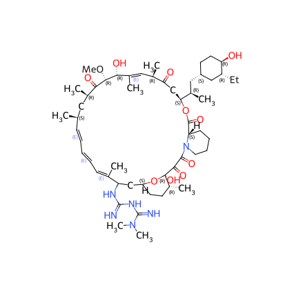 CC[C@@H]1C[C@H](C[C@@H](C)[C@@H]2CC(=O)[C@H](C)/C=C(\C)[C@@H](O)[C@@H](OC)C(=O)[C@H](C)C[C@H](C)/C=C/C=C/C=C(\C)C(NC(=N)NC(=N)N(C)C)C[C@@H]3CC[C@@H](C)[C@@](O)(O3)C(=O)C(=O)N3CCCC[C@H]3C(=O)O2)CC[C@H]1O